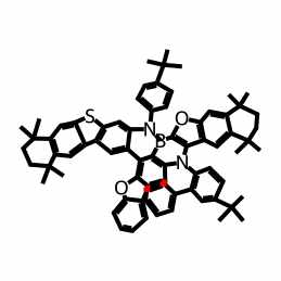 CC(C)(C)c1ccc(N2B3c4oc5cc6c(cc5c4N(c4ccc(C(C)(C)C)cc4-c4ccccc4)c4cc5c(oc7ccccc75)c(c43)-c3cc4c(cc32)sc2cc3c(cc24)C(C)(C)CCC3(C)C)C(C)(C)CCC6(C)C)cc1